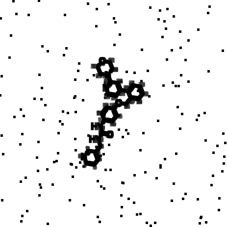 O=C(NCc1cccnc1)Nc1ccc(OCc2ccccc2-c2ccnc(N3CCOCC3)c2)cc1